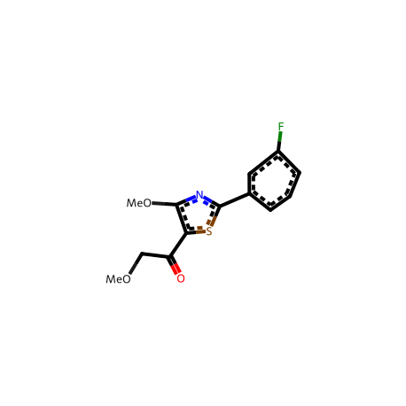 COCC(=O)c1sc(-c2cccc(F)c2)nc1OC